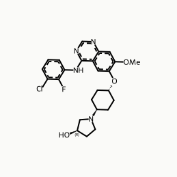 COc1cc2ncnc(Nc3cccc(Cl)c3F)c2cc1O[C@H]1CC[C@H](N2CC[C@@H](O)C2)CC1